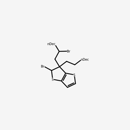 CCCCCCCCCCCCC1(CC(Br)CCCCCCCCCC)c2sccc2SC1Br